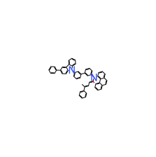 C/C(=C\C=C(/C)N(c1cccc(-c2cccc(-n3c4ccccc4c4cc(-c5ccccc5)ccc43)c2)c1)c1cccc2ccc3ccccc3c12)c1ccccc1